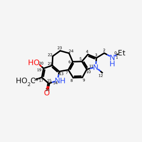 CCNCc1cc2c3c(ccc2n1C)-c1[nH]c(=O)c(C(=O)O)c(O)c1CCC3